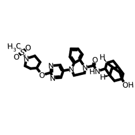 CS(=O)(=O)N1CCC(Oc2ncc(N3CCN(C(=O)NC4[C@@H]5CC6C[C@H]4CC(O)(C6)C5)c4ccccc43)cn2)CC1